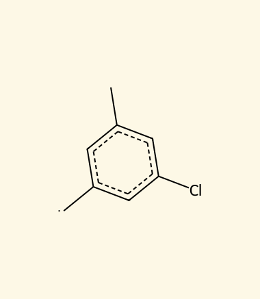 [CH2]c1cc(C)cc(Cl)c1